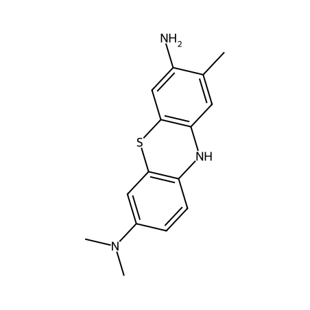 Cc1cc2c(cc1N)Sc1cc(N(C)C)ccc1N2